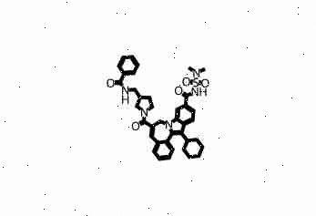 CN(C)S(=O)(=O)NC(=O)c1ccc2c(C3CCCCC3)c3n(c2c1)CC(C(=O)N1CCC(CNC(=O)c2ccccc2)C1)=Cc1ccccc1-3